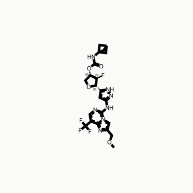 COCc1cn2c(Nc3cc([C@@H]4OC[C@H](OC(=O)NC56CC(C5)C6)[C@H]4F)[nH]n3)ncc(C(F)(F)F)c2n1